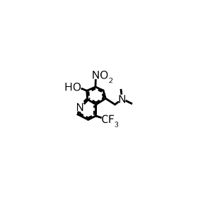 CN(C)Cc1cc([N+](=O)[O-])c(O)c2nccc(C(F)(F)F)c12